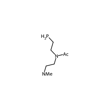 CNCCN(CCP)C(C)=O